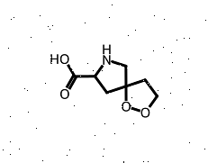 O=C(O)C1CC2(CCOO2)CN1